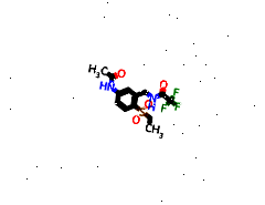 CCS(=O)(=O)c1ccc(NC(C)=O)cc1CNC(=O)C(F)(F)F